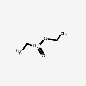 CCO[13C](=O)CC